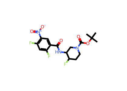 CC(C)(C)OC(=O)N1CCC(F)C(NC(=O)c2cc([N+](=O)[O-])c(F)cc2F)C1